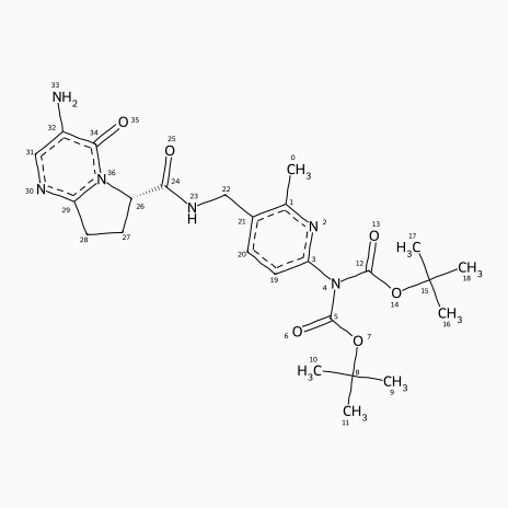 Cc1nc(N(C(=O)OC(C)(C)C)C(=O)OC(C)(C)C)ccc1CNC(=O)[C@@H]1CCc2ncc(N)c(=O)n21